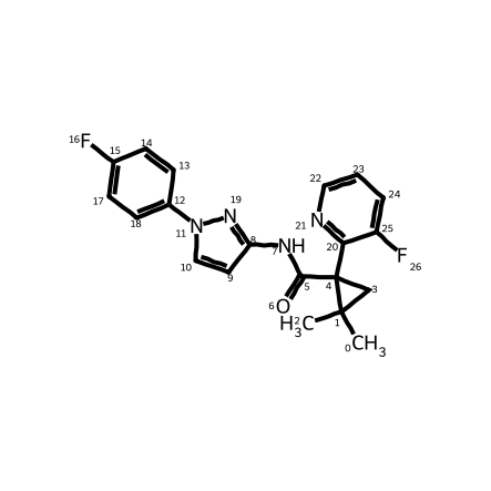 CC1(C)CC1(C(=O)Nc1ccn(-c2ccc(F)cc2)n1)c1ncccc1F